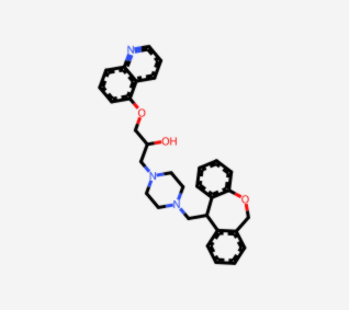 OC(COc1cccc2ncccc12)CN1CCN(CC2c3ccccc3COc3ccccc32)CC1